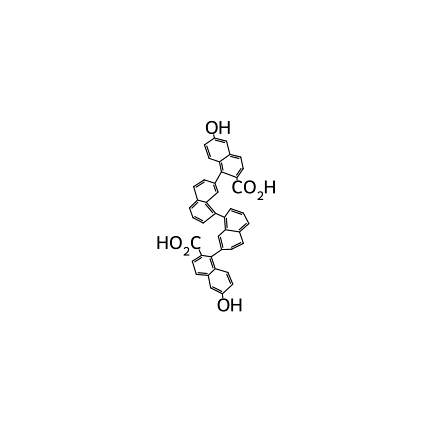 O=C(O)c1ccc2cc(O)ccc2c1-c1ccc2cccc(-c3cccc4ccc(-c5c(C(=O)O)ccc6cc(O)ccc56)cc34)c2c1